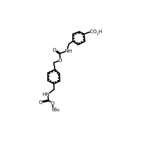 CC(C)(C)OC(=O)NCc1ccc(COC(=O)NCc2ccc(C(=O)O)cc2)cc1